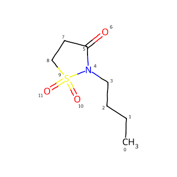 CCCCN1C(=O)CCS1(=O)=O